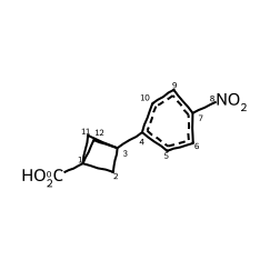 O=C(O)C12CC(c3ccc([N+](=O)[O-])cc3)(C1)C2